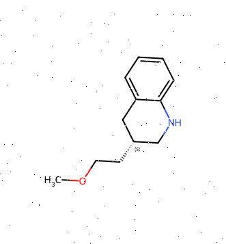 COCC[C@H]1CNc2ccccc2C1